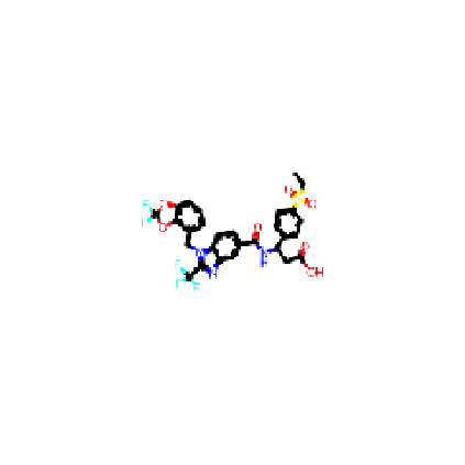 CCS(=O)(=O)c1ccc(C(CC(=O)O)NC(=O)c2ccc3c(c2)nc(C(F)(F)F)n3Cc2cccc3c2OC(F)(F)O3)cc1